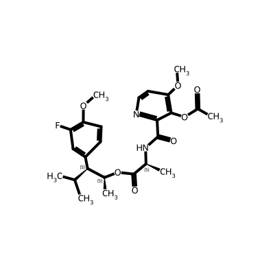 COc1ccc([C@H](C(C)C)[C@H](C)OC(=O)[C@H](C)NC(=O)c2nccc(OC)c2OC(C)=O)cc1F